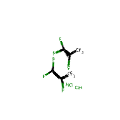 Cl.Cl.FC(F)=C(F)C(F)(F)F.FC(F)=C(F)C(F)(F)F